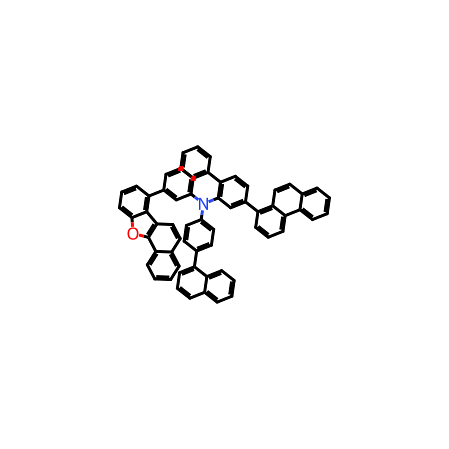 c1ccc(-c2ccc(-c3cccc4c3ccc3ccccc34)cc2N(c2ccc(-c3cccc4ccccc34)cc2)c2cccc(-c3cccc4oc5c6ccccc6ccc5c34)c2)cc1